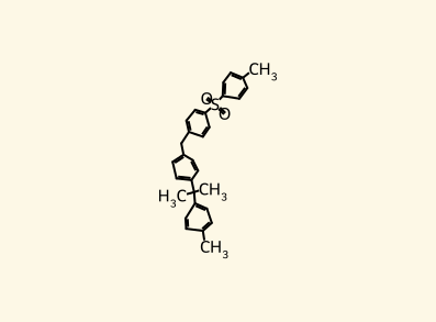 Cc1ccc(C(C)(C)c2ccc(Cc3ccc(S(=O)(=O)c4ccc(C)cc4)cc3)cc2)cc1